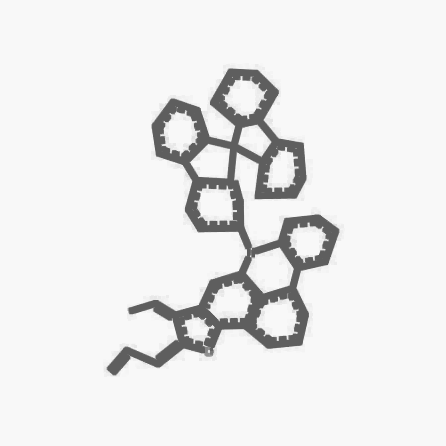 C=C/C=c1/oc2ccc(N(c3ccc4c(c3)C3(c5ccccc5-c5ccccc53)c3ccccc3-4)c3ccccc3-c3ccccc3)cc2/c1=C/C